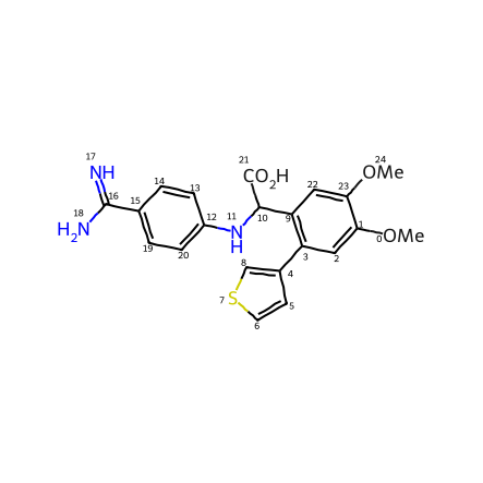 COc1cc(-c2ccsc2)c(C(Nc2ccc(C(=N)N)cc2)C(=O)O)cc1OC